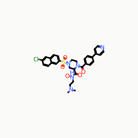 CN(C)CC[NH+]([O-])C(=O)C1CN(S(=O)(=O)c2ccc3cc(Cl)ccc3c2)CCN1C(=O)c1ccc(-c2ccncc2)cc1